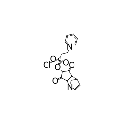 O=C1C(OS(=O)(=O)CC[n+]2ccccc2)C(=O)C2C1C1C=CN2C1.[Cl-]